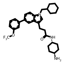 N[C@H]1CC[C@H](NC(=O)CCc2cn(CC3CCCCC3)c3ccc(-c4cccc(OC(F)(F)F)c4)cc23)CC1